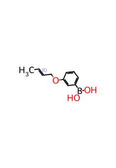 C/C=C/COc1cccc(B(O)O)c1